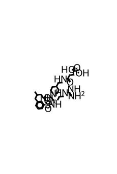 CC1CNc2c(cccc2S(=O)(=O)N[C@@H](CCCNC(=N)N)C(=O)N2CCC(CCNC(=O)CCP(=O)(O)O)CC2)C1